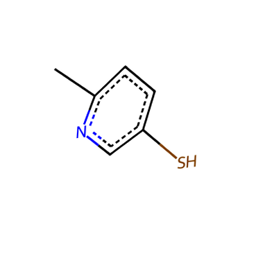 Cc1ccc(S)cn1